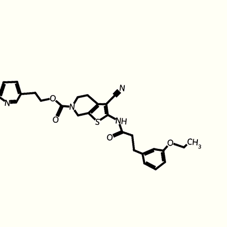 CCOc1cccc(CCC(=O)Nc2sc3c(c2C#N)CCN(C(=O)OCCc2cccnc2)C3)c1